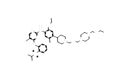 CCOCN1CCN(COCN2CCC(c3cc(OCC)c(Nc4ncc(Cl)c(Nc5ccccc5S(=O)(=O)C(C)C)n4)cc3C)CC2)CC1